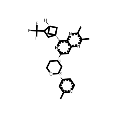 Cc1cc([C@H]2C[C@@H](c3cc4nc(C)c(C)nc4c([C@]45CC(C(F)(F)F)[C@H](C4)C5)n3)CCO2)ccn1